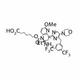 CC[C@]1(N)C[C@H](c2ncc(N3CCOCC3)c(Cc3cc(C(F)(F)F)cc(C(F)(F)F)c3)n2)c2nc(OC)ccc2N1C(=O)OCCCCCC(=O)O